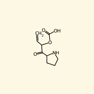 C=CC(OC(=O)O)C(=O)C1CCCN1